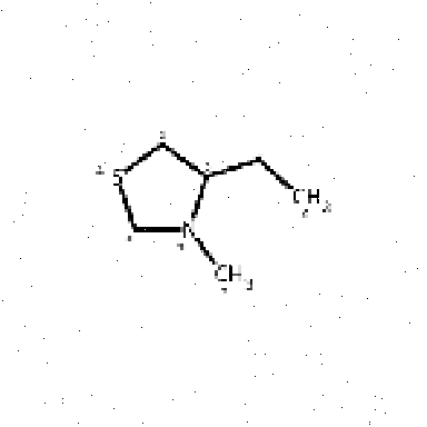 CCC1CSCN1C